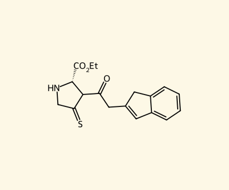 CCOC(=O)[C@H]1NCC(=S)C1C(=O)CC1=Cc2ccccc2C1